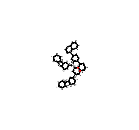 c1ccc(-c2ccc(-c3cccc4ccccc34)cc2N(c2cccc(-c3ccc4oc5ccccc5c4c3)c2)c2ccc3sc4ccccc4c3c2)cc1